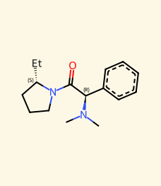 CC[C@H]1CCCN1C(=O)[C@@H](c1ccccc1)N(C)C